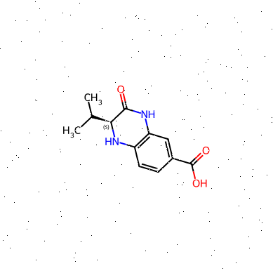 CC(C)[C@@H]1Nc2ccc(C(=O)O)cc2NC1=O